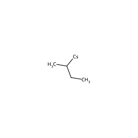 CC[CH](C)[Cs]